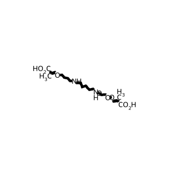 CC(=COCCCCNCCCCCCNOCCOOC=C(C)C(=O)O)C(=O)O